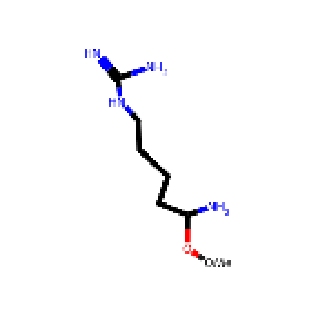 COOC(N)CCCCNC(=N)N